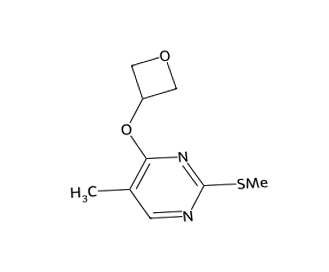 CSc1ncc(C)c(OC2COC2)n1